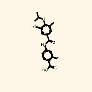 Cc1cc(C(=O)Nc2ccc(C(=O)O)c(F)c2)cc(Cl)c1OC(C)C